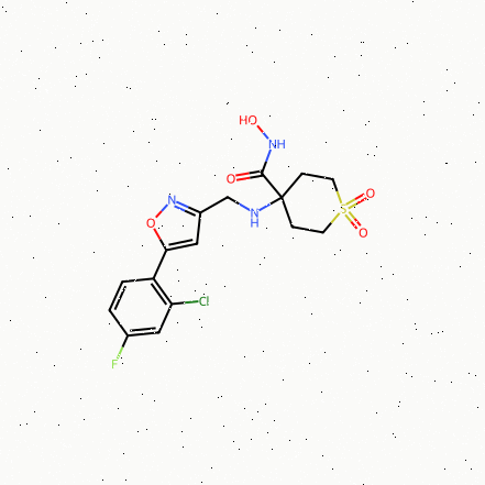 O=C(NO)C1(NCc2cc(-c3ccc(F)cc3Cl)on2)CCS(=O)(=O)CC1